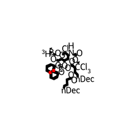 [3H]B(C)C(=O)OCC1OC(Cl)C(NC(=O)OCC(Cl)(Cl)Cl)C(OC(=O)CC(CCCCCCCCCCC)OC(=O)CCCCCCCCCCCCC)C1OP(Oc1ccccc1)Oc1ccccc1